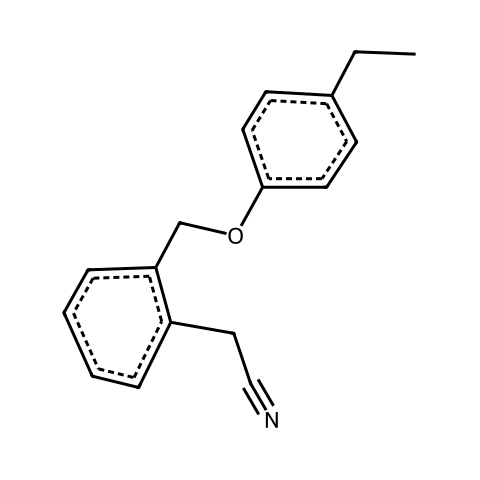 CCc1ccc(OCc2ccccc2CC#N)cc1